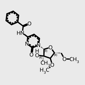 COC[C@H]1O[C@@H](n2ccc(NC(=O)c3ccccc3)nc2=O)[C@](C)(O)C1OC